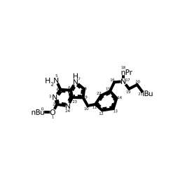 CCCCOc1nc(N)c2[nH]cc(Cc3cccc(CN(CCC)CCC(C)CC)c3)c2n1